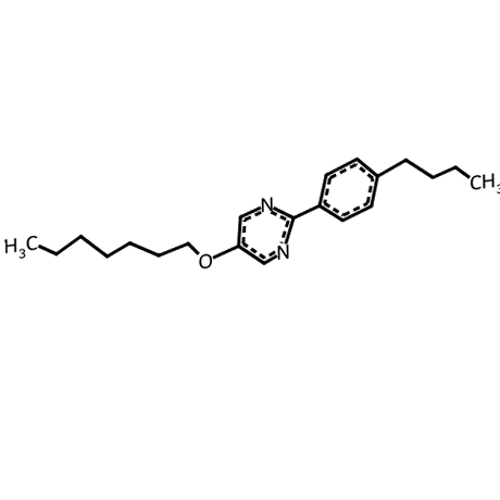 CCCCCCCOc1cnc(-c2ccc(CCCC)cc2)nc1